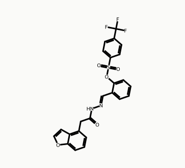 O=C(Cc1cccc2occc12)NN=Cc1ccccc1OS(=O)(=O)c1ccc(C(F)(F)F)cc1